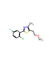 Cc1nc(-c2cc(F)ccc2Cl)sc1CCO[N+](=O)[O-]